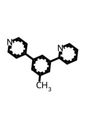 Cc1cc(-c2ccncc2)cc(-c2ccccn2)c1